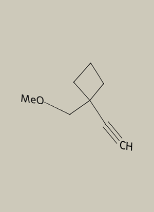 C#CC1(COC)CCC1